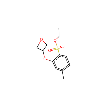 CCOS(=O)(=O)c1ccc(C)cc1OC1COC1